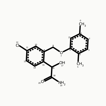 Cc1ccc(C)c(OCc2cc(Cl)ccc2C(O)C(N)=O)c1